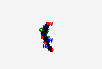 COC1CCC(NC/C=C/C(=O)Nc2c(F)cc(C(=O)c3ccc4c(-c5c(C(F)(F)F)cc6c(nc(CO)n6C)c5Cl)cccn34)cc2F)CC1